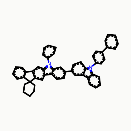 c1ccc(-c2ccc(-n3c4ccccc4c4cc(-c5ccc6c7cc8c(cc7n(-c7ccccc7)c6c5)-c5ccccc5C85CCCCC5)ccc43)cc2)cc1